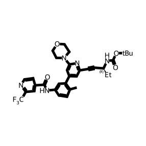 CC[C@H](C#Cc1cc(-c2cc(NC(=O)c3ccnc(C(F)(F)F)c3)ccc2C)cc(N2CCOCC2)n1)NC(=O)OC(C)(C)C